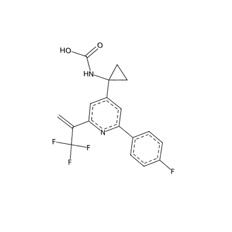 C=C(c1cc(C2(NC(=O)O)CC2)cc(-c2ccc(F)cc2)n1)C(F)(F)F